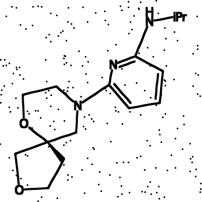 CC(C)Nc1cccc(N2CCO[C@]3(CCOC3)C2)n1